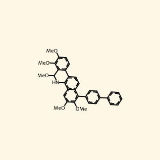 COc1ccc2c(c1OC)C(OC)Nc1c-2ccc2c(-c3ccc(-c4ccccc4)cc3)c(OC)c(OC)cc12